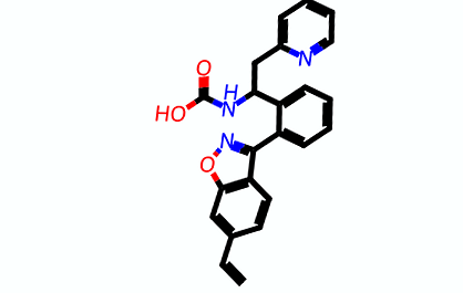 C=Cc1ccc2c(-c3ccccc3C(Cc3ccccn3)NC(=O)O)noc2c1